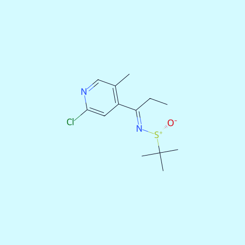 CC/C(=N\[S@+]([O-])C(C)(C)C)c1cc(Cl)ncc1C